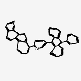 c1ccc(-c2c3ccccc3c(-c3ccc(-c4cccc5c4ccc4c6ccccc6ccc54)nc3)c3ccccc23)cc1